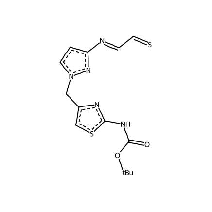 CC(C)(C)OC(=O)Nc1nc(Cn2ccc(N=CC=S)n2)cs1